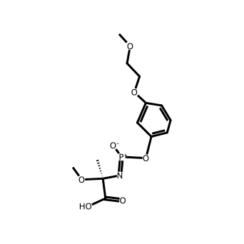 COCCOc1cccc(O[P+]([O-])=N[C@](C)(OC)C(=O)O)c1